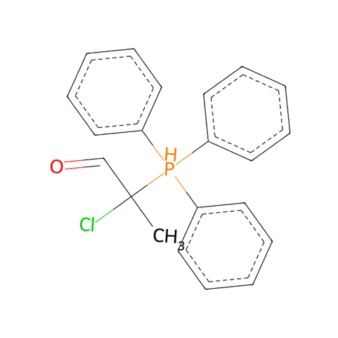 CC(Cl)(C=O)[PH](c1ccccc1)(c1ccccc1)c1ccccc1